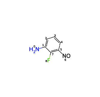 Nc1cccc(N=O)c1F